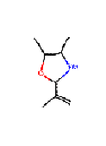 C=C(C)C1NC(C)C(C)O1